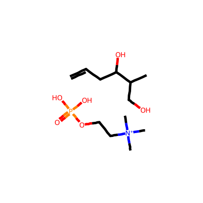 C=CCC(O)C(C)CO.C[N+](C)(C)CCOP(=O)(O)O